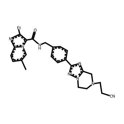 CCc1nc2ccc(C)cn2c1C(=O)NCc1ccc(-c2nc3n(n2)CCN(CCC#N)C3)cc1